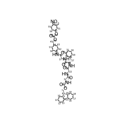 O=C(CNC(=O)OCC1c2ccccc2-c2ccccc21)NCC(=O)N[C@@H](Cc1ccccc1)C(=O)NCC(=O)Nc1ccc(COC(=O)Oc2ccc([N+](=O)[O-])cc2)cc1